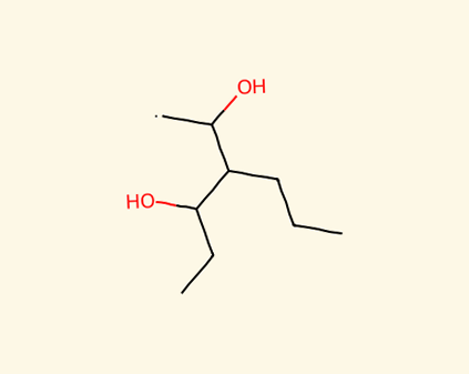 [CH2]C(O)C(CCC)C(O)CC